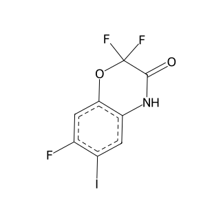 O=C1Nc2cc(I)c(F)cc2OC1(F)F